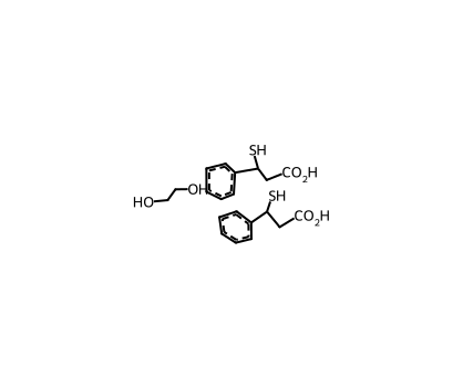 O=C(O)CC(S)c1ccccc1.O=C(O)CC(S)c1ccccc1.OCCO